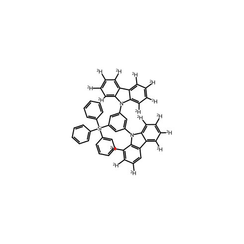 [2H]c1cc2c3c([2H])c([2H])c([2H])c([2H])c3n(-c3cc(-n4c5c([2H])c([2H])c([2H])c([2H])c5c5c([2H])c([2H])c([2H])c([2H])c54)cc([Si](c4ccccc4)(c4ccccc4)c4ccccc4)c3)c2c([2H])c1[2H]